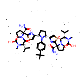 CC(C)[C@@H](C(=O)N1CCC[C@]1(C(N)=O)c1nc([C@H]2CC[C@H](c3csc([C@@]4(C(N)=O)CCCN4C(=O)[C@H](C(C)C)N(C)C(=O)O)n3)N2c2ccc(C(C)(C)C)cc2)cs1)N(C)C(=O)O